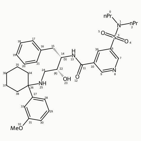 CCCN(CCC)S(=O)(=O)c1cncc(C(=O)N[C@@H](Cc2ccccc2)[C@H](O)CNC2(c3cccc(OC)c3)CCCCC2)c1